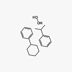 CC(C)c1ccccc1.OO.c1ccc(C2CCCCC2)cc1